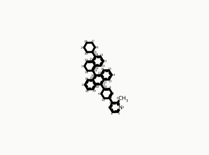 Cc1ncccc1C1=CC=C(c2c3ccccc3c(C3=c4cccc(C5CCCCC5)c4=CCC3)c3ccccc23)CC1